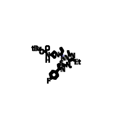 C=C/C(=N\n1c(C)nc(CC)c1N(C)c1nc(-c2ccc(F)cc2)cs1)N1CC(NC(=O)OC(C)(C)C)C1